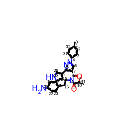 Cc1ccc(-n2cc([C@@H]3O[C@@H](C)C(=O)N3CCc3ccc(N)cc3)c(-c3cc[nH]c3)n2)cc1